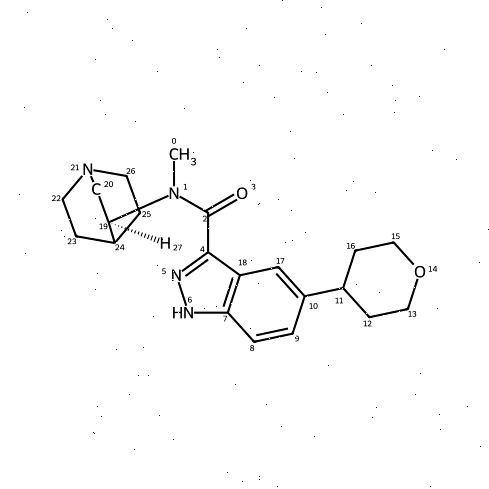 CN(C(=O)c1n[nH]c2ccc(C3CCOCC3)cc12)[C@@H]1CN2CCC1CC2